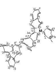 c1ccc(-n2c3cc4ccccc4cc3c3cc4cc(-c5cc6c7c(cccc7c5)-c5ccccc5-6)ccc4cc32)cc1